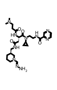 CN(C)CCC(=O)N[C@@H](CC(=O)NC[C@@H]1CCCN(C=NN)C1)C(=O)N(CCNC(=O)c1cnccn1)C1CC1